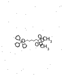 COC(=O)C(CCCCCCOC(c1ccccc1)(c1ccccc1)c1ccccc1)C(=O)OC